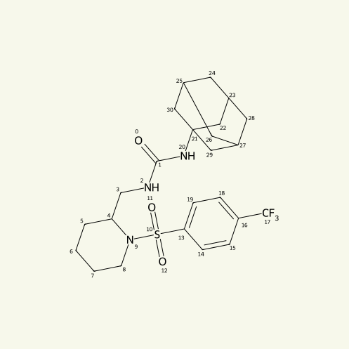 O=C(NCC1CCCCN1S(=O)(=O)c1ccc(C(F)(F)F)cc1)NC12CC3CC(CC(C3)C1)C2